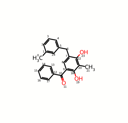 Cc1cccc(Cc2cc(C(=O)c3ccccc3)c(O)c(C)c2O)c1